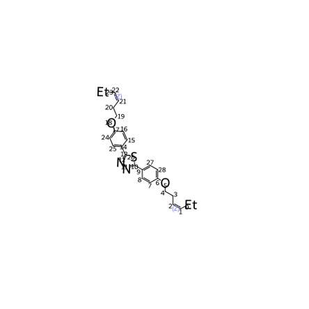 CC/C=C\CCOc1ccc(-c2nnc(-c3ccc(OCC/C=C\CC)cc3)s2)cc1